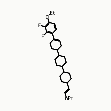 CCC/C=C/C1CCC(C2CCC(C3CC=C(c4ccc(OCC)c(F)c4F)CC3)CC2)CC1